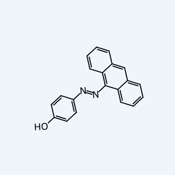 Oc1ccc(N=Nc2c3ccccc3cc3ccccc23)cc1